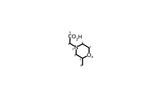 CC1CN(CC(=O)O)CCO1